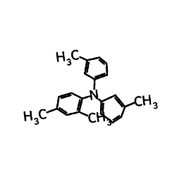 Cc1cccc(N(c2cccc(C)c2)c2ccc(C)cc2C)c1